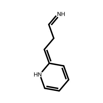 N=CCC=C1C=CC=CN1